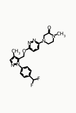 Cc1cnn(-c2ccc(C(F)F)cc2)c1COc1ccc(N2CCN(C)C(=O)C2)nn1